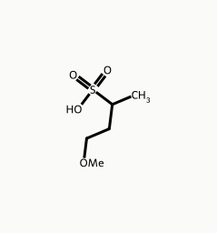 [CH2]OCCC(C)S(=O)(=O)O